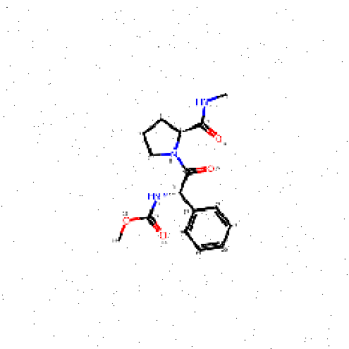 CNC(=O)[C@@H]1CCCN1C(=O)[C@@H](NC(=O)OC)c1ccccc1